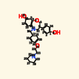 Oc1ccc(C2COc3cc(O)ccc3N(Cc3ccc(OCCN4CCCCC4)cc3)C2)cc1